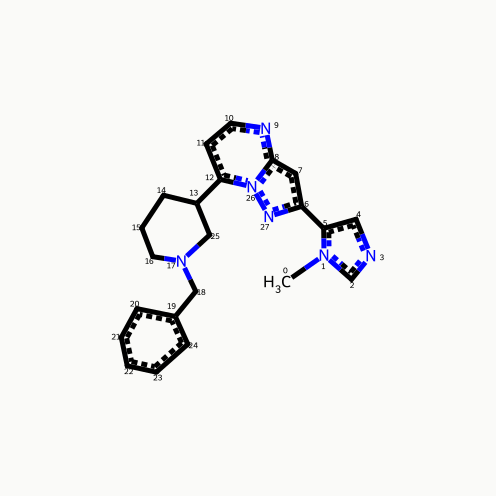 Cn1cncc1-c1cc2nccc(C3CCCN(Cc4ccccc4)C3)n2n1